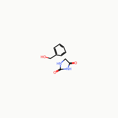 O=C1CNC(=O)N1.OCc1ccccc1